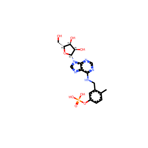 Cc1ccc(OP(=O)(O)O)cc1CNc1ncnc2c1ncn2[C@@H]1O[C@H](CO)[C@@H](O)[C@H]1O